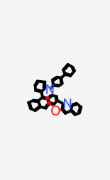 c1ccc(-c2ccc(N(c3ccc4oc5cc6ccccc6nc5c4c3)c3ccccc3-c3cccc4ccccc34)cc2)cc1